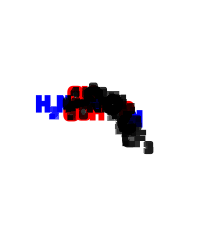 NC(=O)[C@@H](O)[C@H](O)c1cccc(-c2ccc(Oc3ccc(C(F)(F)F)cn3)cc2)n1